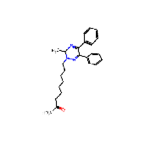 CC1N=C(c2ccccc2)C(c2ccccc2)=NN1CCCCCCCC(=O)C(=O)O